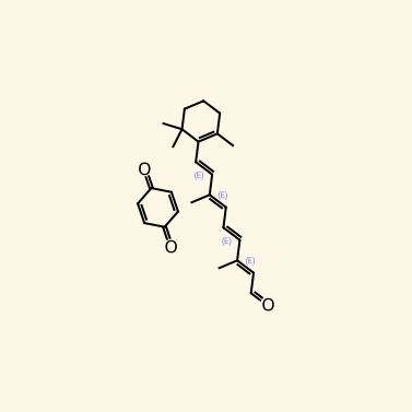 CC1=C(/C=C/C(C)=C/C=C/C(C)=C/C=O)C(C)(C)CCC1.O=C1C=CC(=O)C=C1